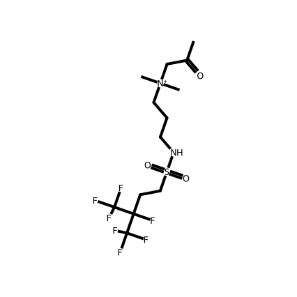 CC(=O)C[N+](C)(C)CCCNS(=O)(=O)CCC(F)(C(F)(F)F)C(F)(F)F